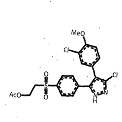 COc1ccc(-c2c(Cl)n[nH]c2-c2ccc(S(=O)(=O)CCOC(C)=O)cc2)cc1Cl